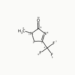 CN1[C]C(C(F)(F)F)=NC1=O